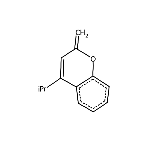 C=C1C=C(C(C)C)c2ccccc2O1